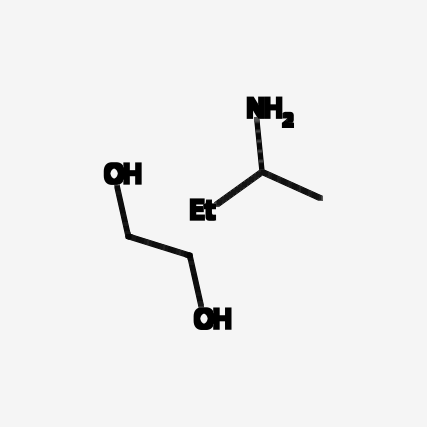 CCC(C)N.OCCO